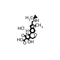 Cl.Cn1c(CNC2(C)CC2)cc2cc3c(cc21)OCCc1c-3[nH]c(=O)c(C(=O)O)c1O